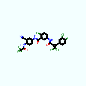 N#Cc1cc(NC(=O)c2cc(NC(=O)C3C(c4ccc(F)c(Cl)c4)C3(Cl)Cl)ccc2Cl)ccc1NC(=O)C(F)(F)F